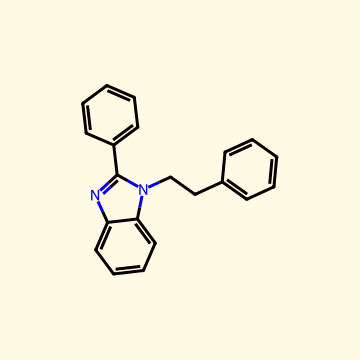 c1ccc(CCn2c(-c3ccccc3)nc3ccccc32)cc1